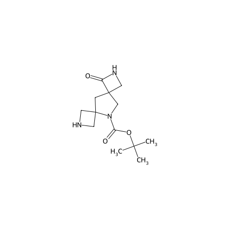 CC(C)(C)OC(=O)N1CC2(CNC2=O)CC12CNC2